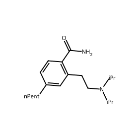 CCCCCc1ccc(C(N)=O)c(CCN(C(C)C)C(C)C)c1